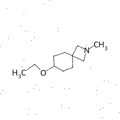 CCOC1CCC2(CC1)CN(C)C2